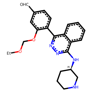 CCOCOc1cc(C=O)ccc1-c1nnc(N[C@@H]2CCCNC2)c2ccccc12